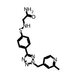 Cc1cc(Cn2nnc(-c3ccc(SNCC(N)=O)cc3)n2)ccn1